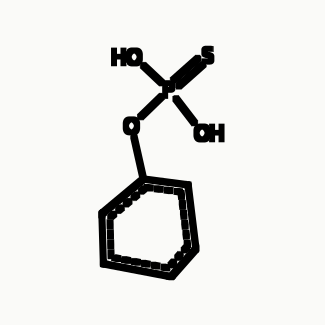 OP(O)(=S)Oc1ccccc1